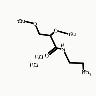 CC(C)(C)OCC(OC(C)(C)C)C(=O)NCCN.Cl.Cl